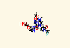 CN(C(=O)OC(C)(C)C)c1cc(Nc2cccn(C3C[C@@H]3F)c2=O)nc2c(C(=O)NCC3(COCCO)CC3)cnn12